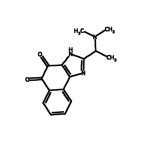 CC(c1nc2c([nH]1)C(=O)C(=O)c1ccccc1-2)N(C)C